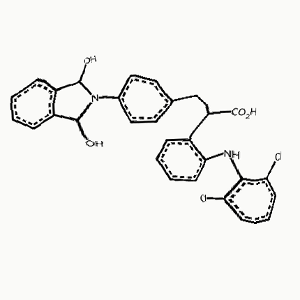 O=C(O)C(Cc1ccc(N2C(O)c3ccccc3C2O)cc1)c1ccccc1Nc1c(Cl)cccc1Cl